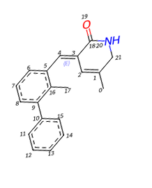 CC1=C/C(=C\c2cccc(-c3ccccc3)c2C)C(=O)NC1